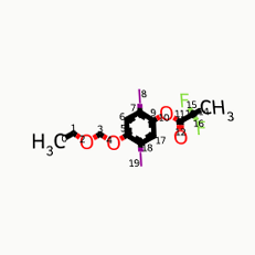 CCOCOc1cc(I)c(OC(=O)C(C)(F)F)cc1I